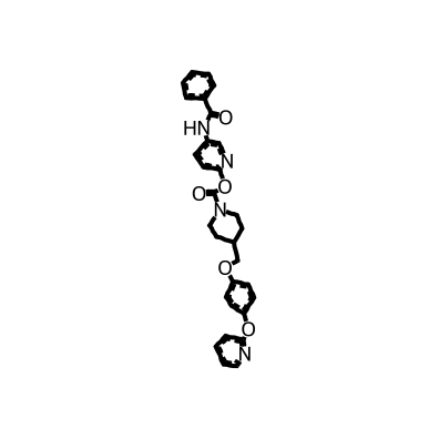 O=C(Nc1ccc(OC(=O)N2CCC(COc3ccc(Oc4ccccn4)cc3)CC2)nc1)c1ccccc1